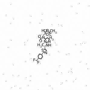 C[C@H](Nc1nccc(N2C(=O)OC[C@@H]2[C@@H](C)OC(C)(C)C)n1)c1cnc(-c2ccc(C(F)F)cc2)s1